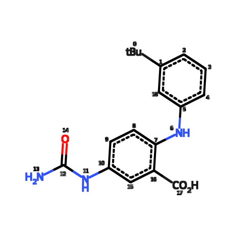 CC(C)(C)c1cccc(Nc2ccc(NC(N)=O)cc2C(=O)O)c1